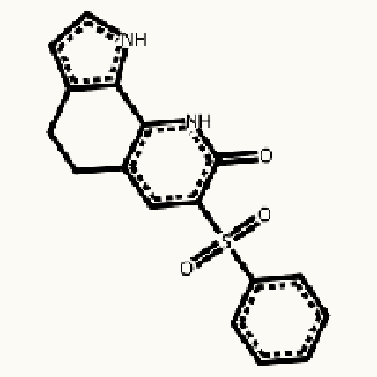 O=c1[nH]c2c(cc1S(=O)(=O)c1ccccc1)CCc1cc[nH]c1-2